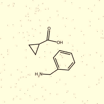 NCc1ccccc1.O=C(O)C1CC1